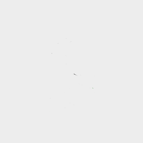 O=C(OC[C@H]1SC[C@@H](F)[C@@H]1OC(=O)c1ccc(Cl)cc1Cl)c1ccc(Cl)cc1Cl